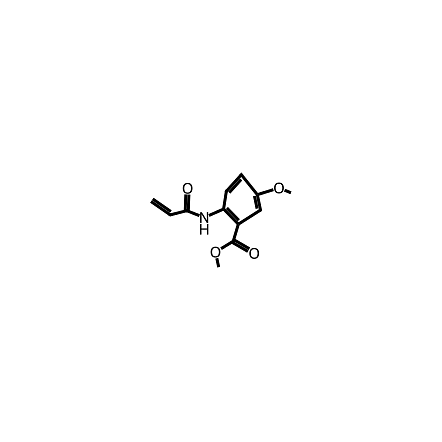 C=CC(=O)Nc1ccc(OC)cc1C(=O)OC